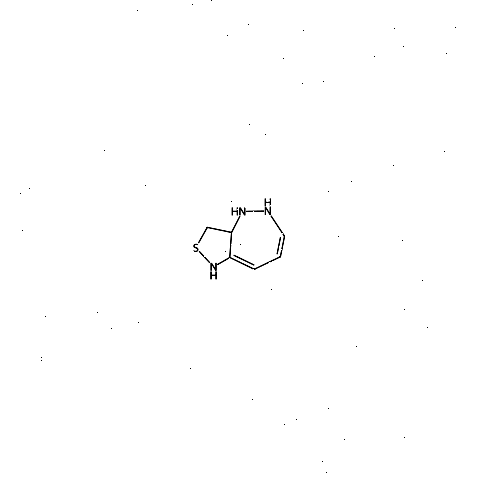 C1=CNNC2CSNC2=C1